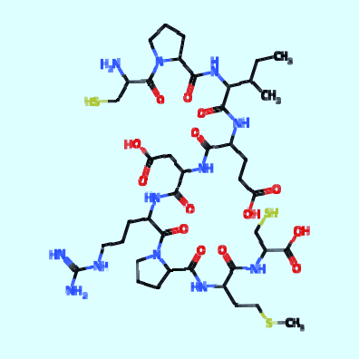 CCC(C)C(NC(=O)C1CCCN1C(=O)C(N)CS)C(=O)NC(CCC(=O)O)C(=O)NC(CC(=O)O)C(=O)NC(CCCNC(=N)N)C(=O)N1CCCC1C(=O)NC(CCSC)C(=O)NC(CS)C(=O)O